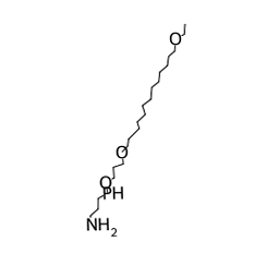 CCOCCCCCCCCCCCCCOCCCOPCCCN